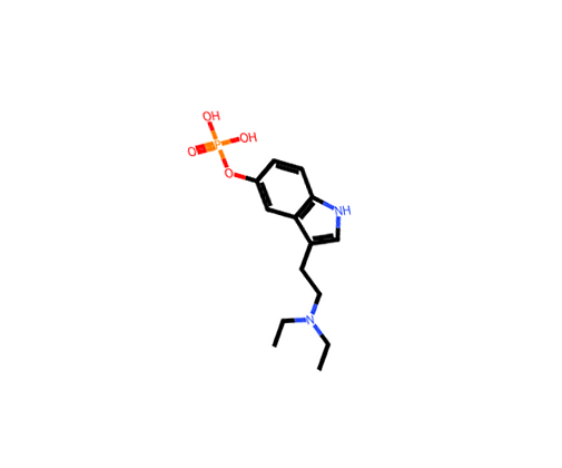 CCN(CC)CCc1c[nH]c2ccc(OP(=O)(O)O)cc12